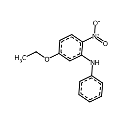 CCOc1ccc([N+](=O)[O-])c(Nc2ccccc2)c1